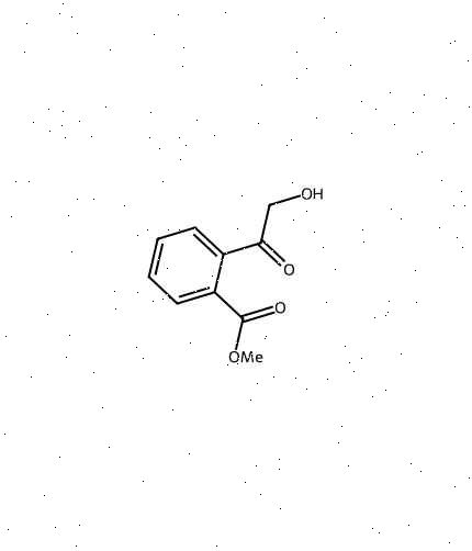 COC(=O)c1ccccc1C(=O)CO